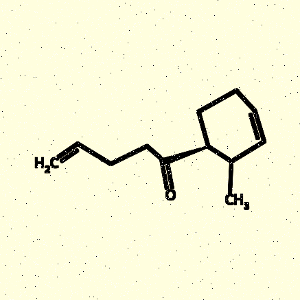 C=CCCC(=O)[C@H]1CCC=CC1C